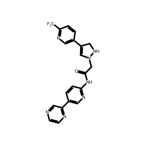 O=C(CN1C=C(c2ccc(C(F)(F)F)nc2)CN1)Nc1ccc(-c2cnccn2)cn1